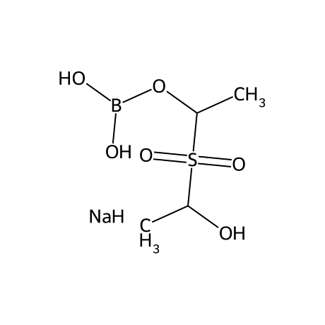 CC(O)S(=O)(=O)C(C)OB(O)O.[NaH]